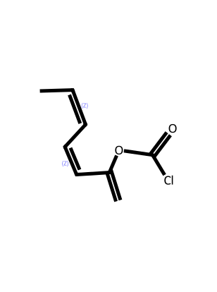 C=C(/C=C\C=C/C)OC(=O)Cl